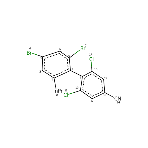 CCCc1cc(Br)[c]c(Br)c1-c1c(Cl)cc(C#N)cc1Cl